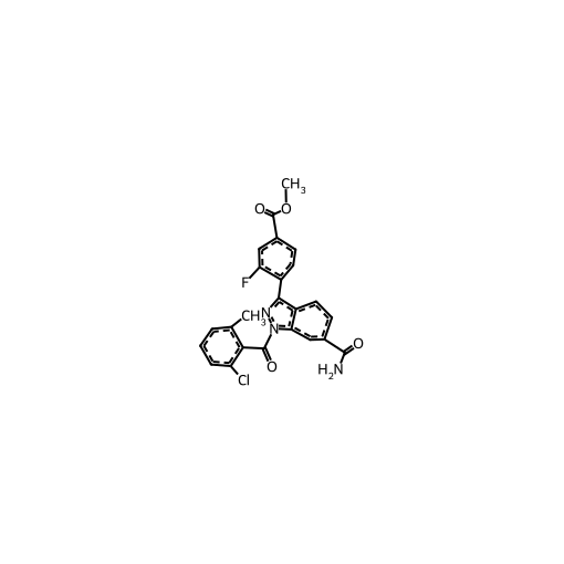 COC(=O)c1ccc(-c2nn(C(=O)c3c(C)cccc3Cl)c3cc(C(N)=O)ccc23)c(F)c1